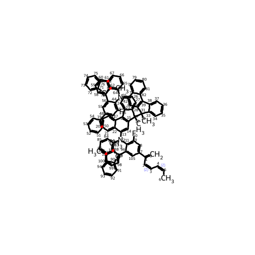 C=C(/C=C\C=C/C)c1cc(F)c(N(c2cc3c(c4ccccc24)-c2ccccc2C3(C)C2(C)c3ccccc3-c3c2cc(N(c2c(F)cc(-c4ccccc4)cc2-c2ccccc2C)c2cccc4c2oc2ccccc24)c2ccccc32)c2cccc3c2oc2ccccc23)c(-c2cccc(C)c2C)c1